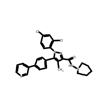 Cc1c(C(=O)NN2CCCCC2)nn(-c2ccc(Cl)cc2Cl)c1-c1ccc(-c2cccnc2)cc1